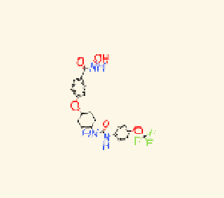 O=C(Nc1ccc(OC(F)(F)F)cc1)NC1CCC(Oc2ccc(C(=O)NO)cc2)CC1